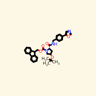 CC(C)(C)OC1C[C@@H](C(=O)NCc2ccc(-c3cnco3)cc2)N(C(=O)OCC2c3ccccc3-c3ccccc32)C1